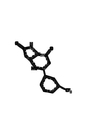 O=c1cc2[nH]c(-c3cccc(C(F)(F)F)c3)cc(=O)n2[nH]1